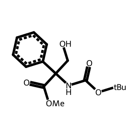 COC(=O)C(CO)(NC(=O)OC(C)(C)C)c1ccccc1